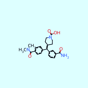 CN(C)C(=O)c1ccc(C(=C2CCN(C(=O)O)CC2)c2cccc(C(N)=O)c2)cc1